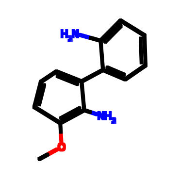 COc1cccc(-c2ccccc2N)c1N